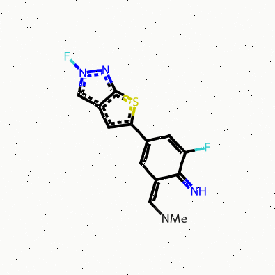 CN/C=C1/C=C(c2cc3cn(F)nc3s2)C=C(F)C1=N